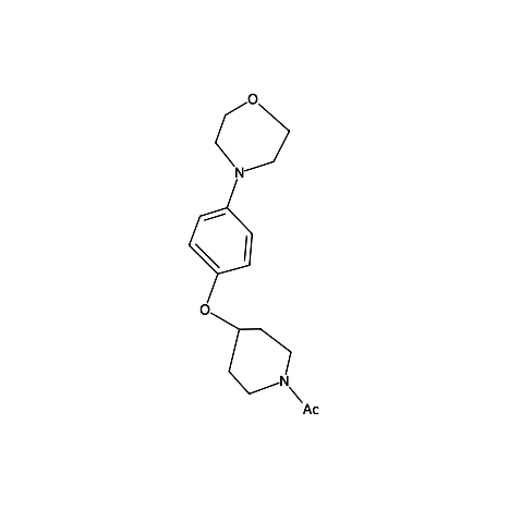 CC(=O)N1CCC(Oc2ccc(N3CCOCC3)cc2)CC1